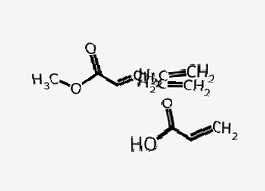 C=C.C=C.C=CC(=O)O.C=CC(=O)OC